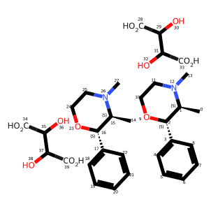 C[C@H]1[C@H](c2ccccc2)OCCN1C.C[C@H]1[C@H](c2ccccc2)OCCN1C.O=C(O)C(O)C(O)C(=O)O.O=C(O)C(O)C(O)C(=O)O